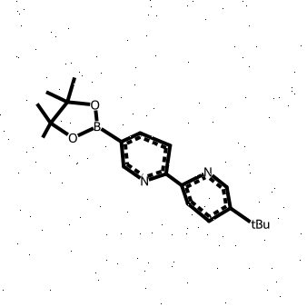 CC(C)(C)c1ccc(-c2ccc(B3OC(C)(C)C(C)(C)O3)cn2)nc1